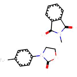 N#Cc1ccc(N2C[C@H](CN3C(=O)c4ccccc4C3=O)OC2=O)cc1